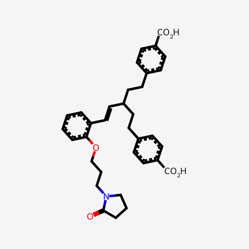 O=C(O)c1ccc(CCC(C=Cc2ccccc2OCCCN2CCCC2=O)CCc2ccc(C(=O)O)cc2)cc1